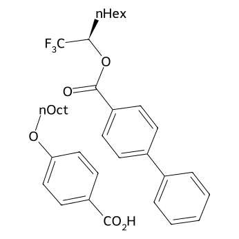 CCCCCCCCOc1ccc(C(=O)O)cc1.CCCCCC[C@@H](OC(=O)c1ccc(-c2ccccc2)cc1)C(F)(F)F